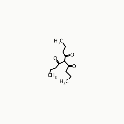 CCCC(=O)C(C(=O)CCC)C(=O)CCC